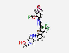 CC(O)CN1CCC(Nc2cccc3c(CC(F)(F)F)c(C#CCNc4ccc(P(C)(C)=O)cc4OCF)sc23)CC1